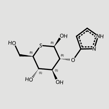 OC[C@H]1S[C@@H](O)[C@H](Oc2cc[nH]n2)[C@@H](O)[C@@H]1O